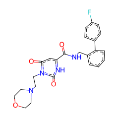 O=C(NCc1ccccc1-c1ccc(F)cc1)c1cc(=O)n(CCN2CCOCC2)c(=O)[nH]1